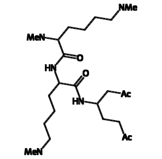 CNCCCCC(NC)C(=O)NC(CCCCNC)C(=O)NC(CCC(C)=O)CC(C)=O